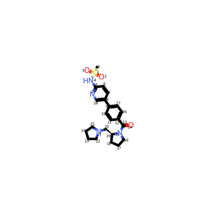 CS(=O)(=O)Nc1ccc(-c2ccc(C(=O)N3CCC[C@H]3CN3CCCC3)cc2)cn1